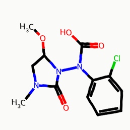 COC1CN(C)C(=O)N1N(C(=O)O)c1ccccc1Cl